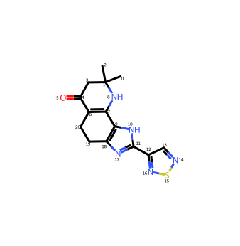 CC1(C)CC(=O)C2=C(N1)c1[nH]c(-c3cnsn3)nc1CC2